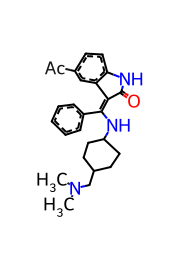 CC(=O)c1ccc2c(c1)/C(=C(/NC1CCC(CN(C)C)CC1)c1ccccc1)C(=O)N2